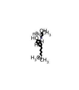 CCCC[C@@](C)(O)C/C=C/[C@@H]1[C@H]2CC(CCCCCN(C)C)=C[C@H]2C[C@H]1O